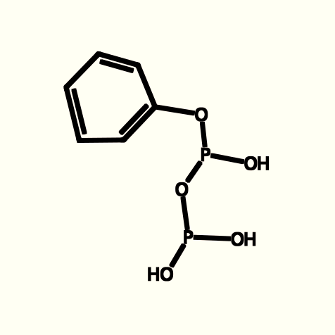 OP(O)OP(O)Oc1ccccc1